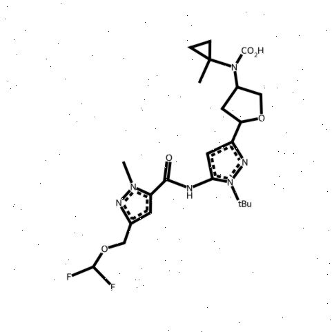 Cn1nc(COC(F)F)cc1C(=O)Nc1cc(C2CC(N(C(=O)O)C3(C)CC3)CO2)nn1C(C)(C)C